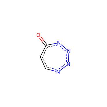 O=c1ccnnnn1